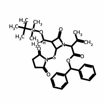 C=C(C)C(C(=O)OC(c1ccccc1)c1ccccc1)N1C(=O)C([C@@H](C)O[Si](C)(C)C(C)(C)C)C1SN1C(=O)CCC1=O